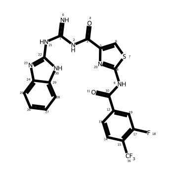 N=C(NC(=O)c1csc(NC(=O)c2ccc(C(F)(F)F)c(F)c2)n1)Nc1nc2ccccc2[nH]1